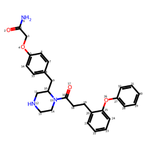 NC(=O)COc1ccc(CC2CNCCN2C(=O)CCc2ccccc2Oc2ccccc2)cc1